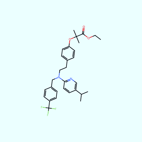 CCOC(=O)C(C)(C)Oc1ccc(CCN(Cc2ccc(C(F)(F)F)cc2)c2ccc(C(C)C)cn2)cc1